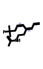 C=C/C=C(\C=C/CC(C)(C)F)CCNC(=C)C